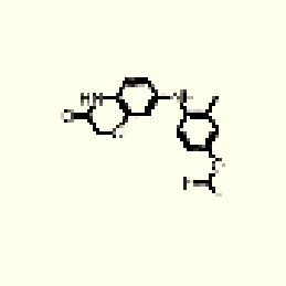 Cc1cc(OC(F)F)ccc1Nc1ccc2c(c1)OCC(=O)N2